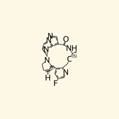 C[C@H]1CCc2ncc(F)cc2[C@@]23C[C@@H]2CCN3c2ccn3ncc(c3n2)C(=O)N1